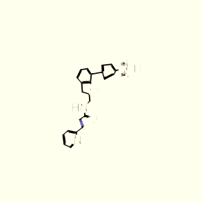 CS(=O)(=O)c1ccc(-c2cccc3c2OC(CNC(=O)/C=C/c2ccccn2)C3)cc1